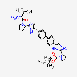 CC(C)C(N)C(=O)N1CCCC1c1ncc(-c2ccc(-c3ccc(-c4cnc(C5CCCN5C(=O)OC(C)(C)C)[nH]4)cc3)cc2)[nH]1